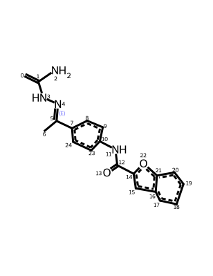 C=C(N)N/N=C(\C)c1ccc(NC(=O)c2cc3ccccc3o2)cc1